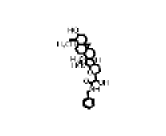 C/C=C1/C(O)CCC23CC24CCC2(C)[C@H]5CCC(C(O)C(=O)NCc6ccccc6)OC5[C@H](O)[C@@]2(C)C4CC[C@@H]13